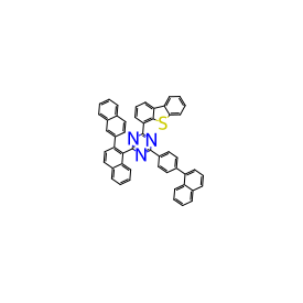 c1ccc2cc(-c3ccc4ccccc4c3-c3nc(-c4ccc(-c5cccc6ccccc56)cc4)nc(-c4cccc5c4sc4ccccc45)n3)ccc2c1